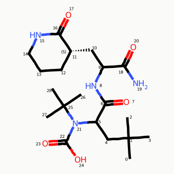 CC(C)(C)CC(C(=O)NC(C[C@@H]1CCCNC1=O)C(N)=O)N(C(=O)O)C(C)(C)C